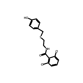 O=C(NCCSCc1ccc(O)cc1)c1c(Cl)cccc1Cl